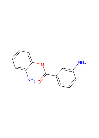 Nc1cccc(C(=O)Oc2ccccc2N)c1